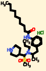 CCCCCCCCCC(=O)Nc1cccc(CC(C)N(CCC)C(C2CCNCC2)S(C)(=O)=O)c1.Cl